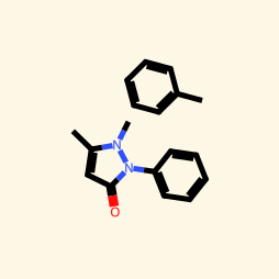 Cc1cc(=O)n(-c2ccccc2)n1C.Cc1ccccc1